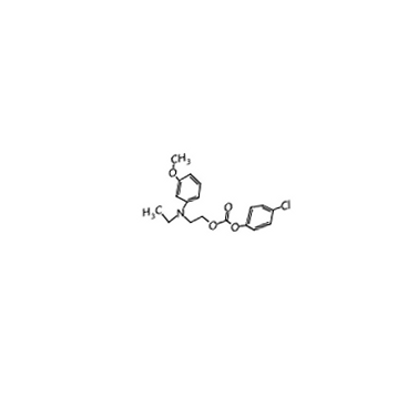 CCN(CCOC(=O)Oc1ccc(Cl)cc1)c1cccc(OC)c1